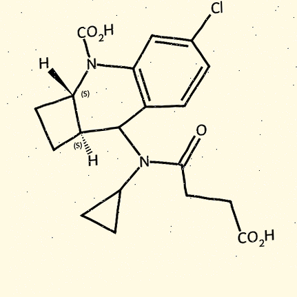 O=C(O)CCC(=O)N(C1CC1)C1c2ccc(Cl)cc2N(C(=O)O)[C@H]2CC[C@H]12